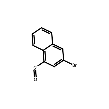 O=[S+]c1[c]c(Br)cc2ccccc12